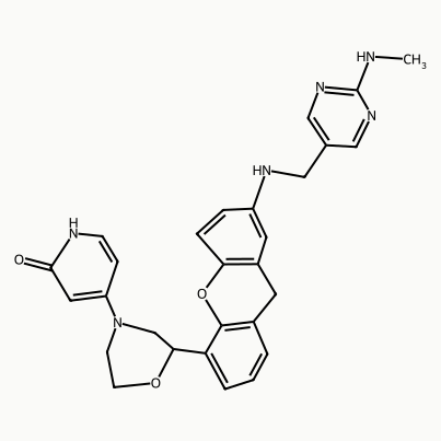 CNc1ncc(CNc2ccc3c(c2)Cc2cccc(C4CN(c5cc[nH]c(=O)c5)CCO4)c2O3)cn1